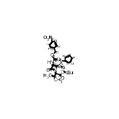 C=C(C)C(C(=O)OC(C)(C)C)N1C(=O)C(NC(=O)OCc2ccc([N+](=O)[O-])cc2)C1[S+]([O-])Sc1ccccc1